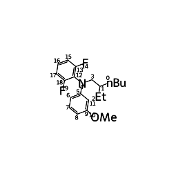 CCCCC(CC)CN(c1cccc(OC)c1)c1c(F)cccc1F